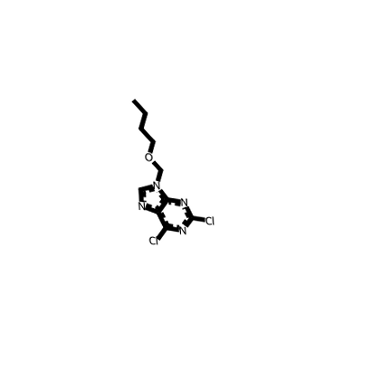 CCCCOCn1cnc2c(Cl)nc(Cl)nc21